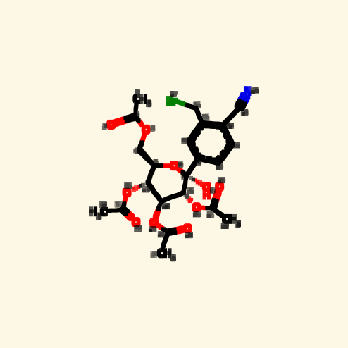 CC(=O)OC[C@H]1O[C@@](O)(c2ccc(C#N)c(CBr)c2)[C@H](OC(C)=O)[C@@H](OC(C)=O)[C@@H]1OC(C)=O